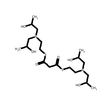 CC(O)CN(CCSC(=O)CC(=O)SCCN(CC(C)O)CC(C)O)CC(C)O